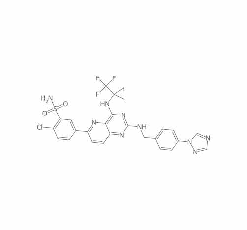 NS(=O)(=O)c1cc(-c2ccc3nc(NCc4ccc(-n5cncn5)cc4)nc(NC4(C(F)(F)F)CC4)c3n2)ccc1Cl